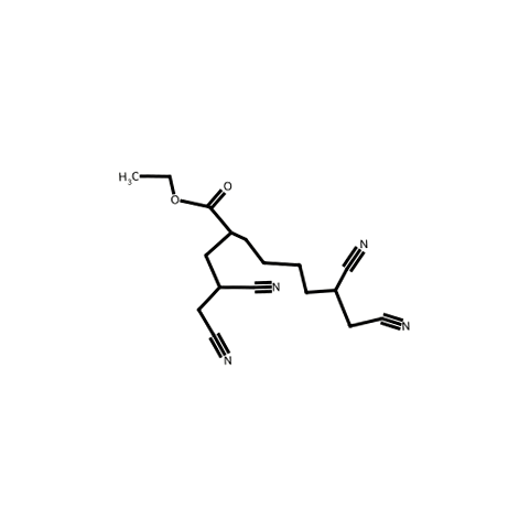 CCOC(=O)C(CCCCC(C#N)CC#N)CC(C#N)CC#N